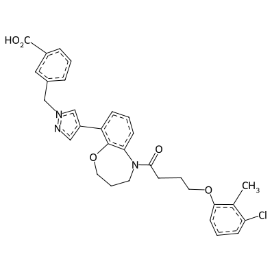 Cc1c(Cl)cccc1OCCCC(=O)N1CCCOc2c(-c3cnn(Cc4cccc(C(=O)O)c4)c3)cccc21